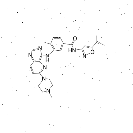 C=C(C)c1cc(NC(=O)c2ccc(C)c(Nc3ncnc4ccc(N5CCN(C)CC5)nc34)c2)no1